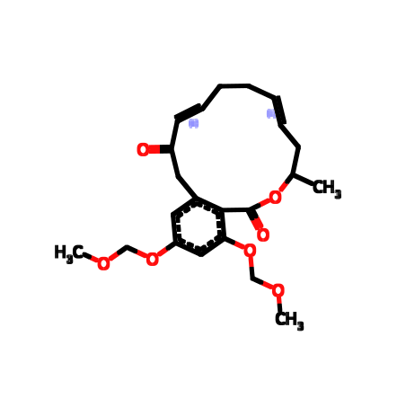 COCOc1cc2c(c(OCOC)c1)C(=O)OC(C)C/C=C/CC/C=C/C(=O)C2